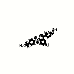 C\C=C(/C=C\C(C)=N\O)C(=O)c1cc(Cl)ccc1NS(=O)(=O)c1ccc(S(C)(=O)=O)cc1